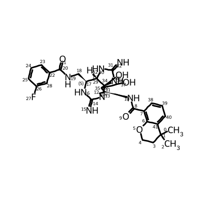 CC1(C)CCOc2c(C(=O)N[C@H]3CN4C(=N)N[C@@H](CNC(=O)c5cccc(F)c5)[C@@H]5NC(=N)N[C@@]54C3(O)O)cccc21